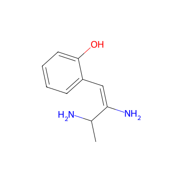 CC(N)/C(N)=C\c1ccccc1O